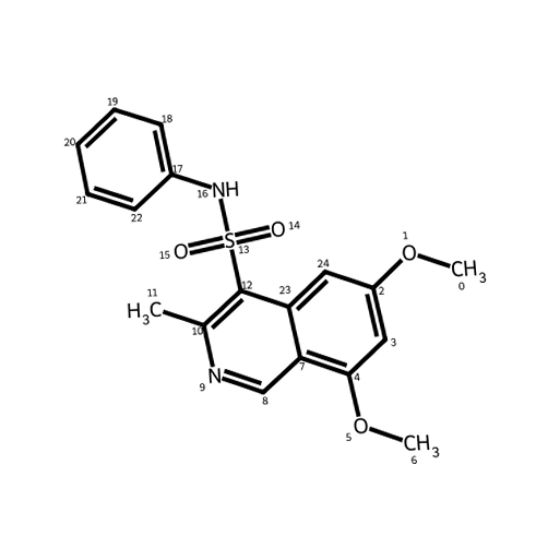 COc1cc(OC)c2cnc(C)c(S(=O)(=O)Nc3ccccc3)c2c1